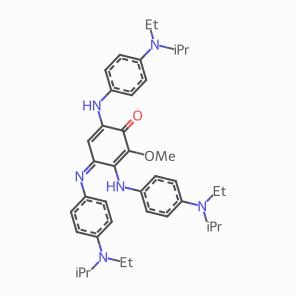 CCN(c1ccc(/N=C2/C=C(Nc3ccc(N(CC)C(C)C)cc3)C(=O)C(OC)=C2Nc2ccc(N(CC)C(C)C)cc2)cc1)C(C)C